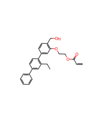 C=CC(=O)OCCOc1cc(-c2ccc(-c3ccccc3)cc2CC)ccc1CO